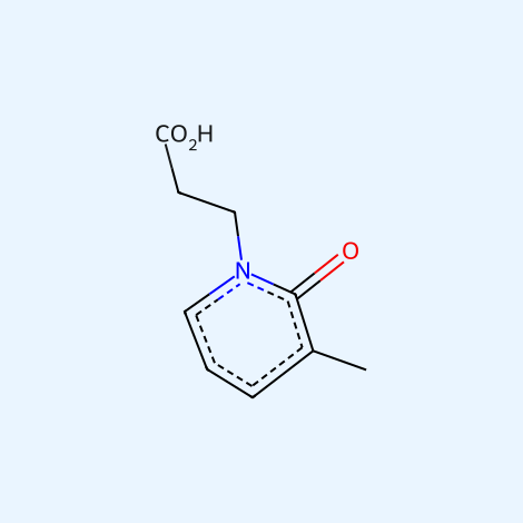 Cc1cccn(CCC(=O)O)c1=O